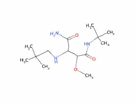 COC(C(=O)NC(C)(C)C)C(NCC(C)(C)C)C(N)=O